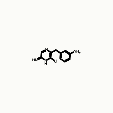 N=c1cnc(Cc2cccc(N)c2)c(Cl)[nH]1